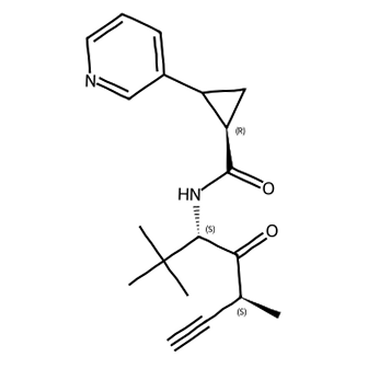 C#C[C@H](C)C(=O)[C@@H](NC(=O)[C@@H]1CC1c1cccnc1)C(C)(C)C